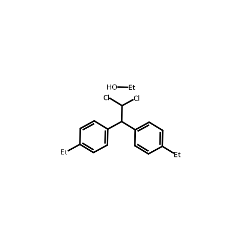 CCO.CCc1ccc(C(c2ccc(CC)cc2)C(Cl)Cl)cc1